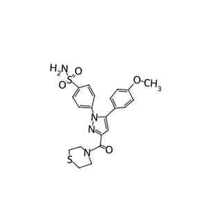 COc1ccc(-c2cc(C(=O)N3CCSCC3)nn2-c2ccc(S(N)(=O)=O)cc2)cc1